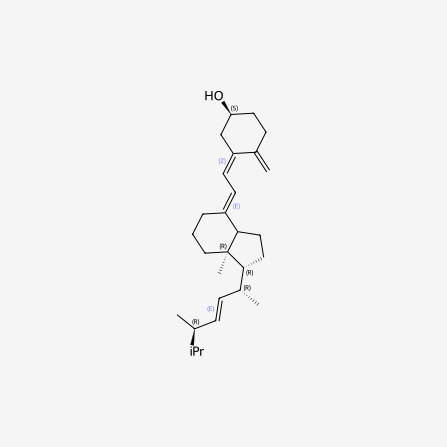 C=C1CC[C@H](O)C/C1=C/C=C1\CCC[C@@]2(C)C1CC[C@@H]2[C@H](C)/C=C/[C@H](C)C(C)C